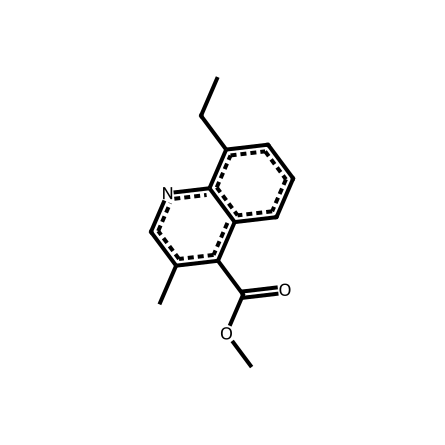 CCc1cccc2c(C(=O)OC)c(C)cnc12